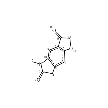 CN1C(=O)Cc2cc3c(cc21)C(=O)CO3